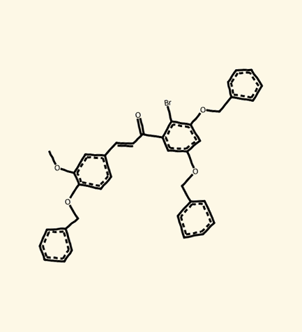 COc1cc(/C=C/C(=O)c2cc(OCc3ccccc3)cc(OCc3ccccc3)c2Br)ccc1OCc1ccccc1